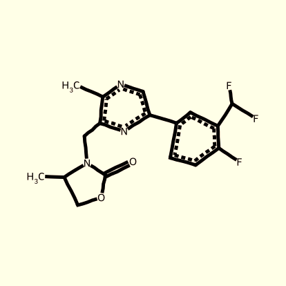 Cc1ncc(-c2ccc(F)c(C(F)F)c2)nc1CN1C(=O)OCC1C